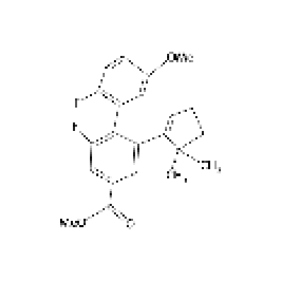 COC(=O)c1cc(F)c(-c2cc(OC)ccc2F)c(C2=CCCC2(C)C)c1